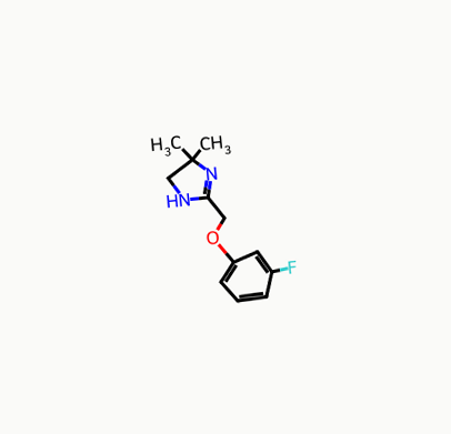 CC1(C)CNC(COc2cccc(F)c2)=N1